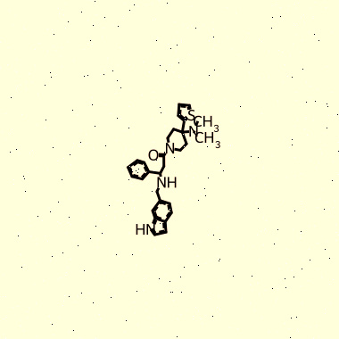 CN(C)C1(c2cccs2)CCN(C(=O)CC(NCc2ccc3cc[nH]c3c2)c2ccccc2)CC1